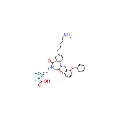 NCCCCCc1ccc2c(c1)C(=O)N(CCC(=O)O)CC(=O)N2Cc1ccccc1Oc1ccccc1.O=C(O)C(F)(F)F